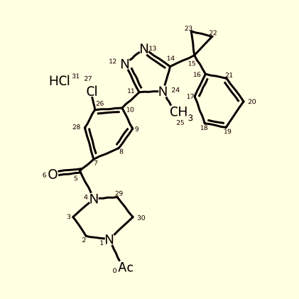 CC(=O)N1CCN(C(=O)c2ccc(-c3nnc(C4(c5ccccc5)CC4)n3C)c(Cl)c2)CC1.Cl